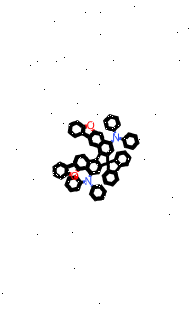 c1ccc(N(c2ccccc2)c2cc3c(c4cc5c(cc24)oc2ccccc25)-c2c(cc(N(c4ccccc4)c4ccccc4)c4c2ccc2c5ccccc5oc24)C32c3ccccc3-c3ccccc32)cc1